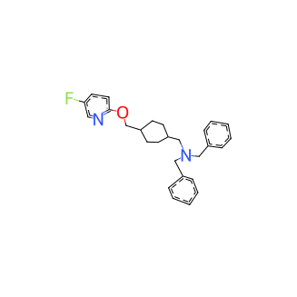 Fc1ccc(OCC2CCC(CN(Cc3ccccc3)Cc3ccccc3)CC2)nc1